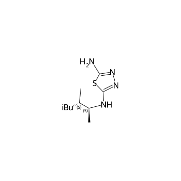 CCC(C)[C@H](C)[C@H](C)Nc1nnc(N)s1